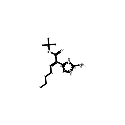 CCCC/C=C(/C(=O)OC(C)(C)C)c1csc(N)n1